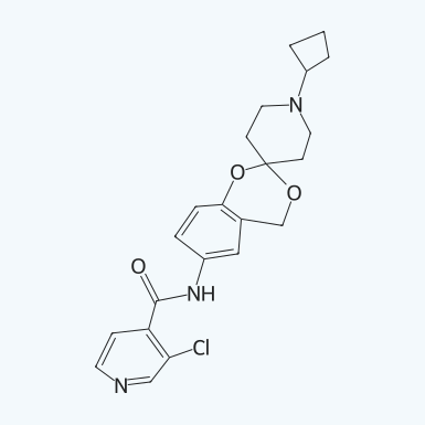 O=C(Nc1ccc2c(c1)COC1(CCN(C3CCC3)CC1)O2)c1ccncc1Cl